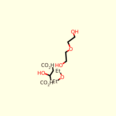 CCOCC.O=C(O)CC(O)C(=O)O.OCCOCCO